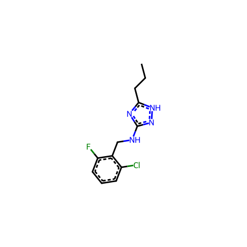 CCCc1nc(NCc2c(F)cccc2Cl)n[nH]1